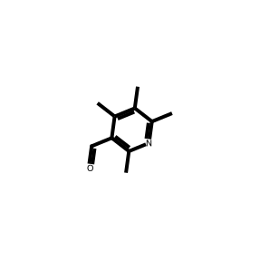 Cc1nc(C)c(C=O)c(C)c1C